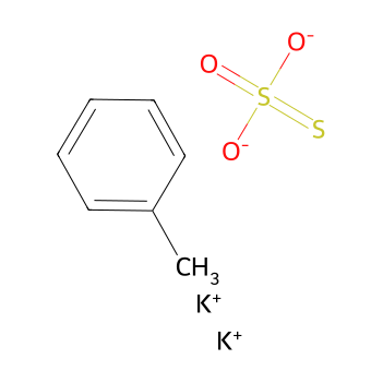 Cc1ccccc1.O=S([O-])([O-])=S.[K+].[K+]